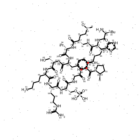 CC[C@H](C)[C@H](N)C(=O)N[C@@H](Cc1c[nH]cn1)C(=O)NC[C@@H](CC[S+](C)[O-])C(=O)N[C@H](C(=O)N[C@@H](Cc1ccc(O)cc1)C(=O)N[C@@H](CO)C(=O)NC(CCCCN)C(=O)N[C@@H](CCCNC(=N)N)C(=O)N[C@@H](COP(=O)(O)O)C(=O)NCC(=O)N[C@@H](CCCCN)C(=O)N1CCC[C@H]1C)C(C)C